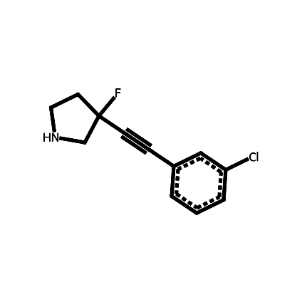 FC1(C#Cc2cccc(Cl)c2)CCNC1